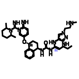 CCC(=N)/C=C(/NC(=O)NC1CC[C@@H](Oc2ccc(=N)n(C(=N)N3C(C)CCCC3C)c2)c2ccccc21)Nc1cnn(CCNC)c1